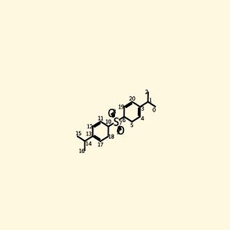 CC(C)C1=CCC(S(=O)(=O)C2C=CC(C(C)C)=CC2)C=C1